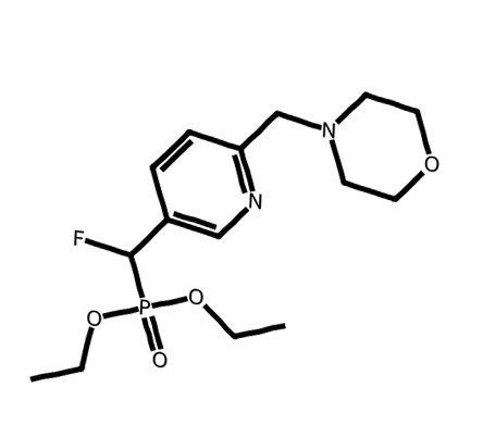 CCOP(=O)(OCC)C(F)c1ccc(CN2CCOCC2)nc1